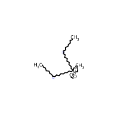 CCCCCCCC/C=C\CCCCCCCCC1(CCCCCCCC/C=C\CCCCCCCC)CN(C)CCN1C1OCCO1